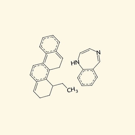 C1=CNc2ccccc2C=N1.CCC1CCC=c2ccc3c(c21)CC=c1ccccc1=3